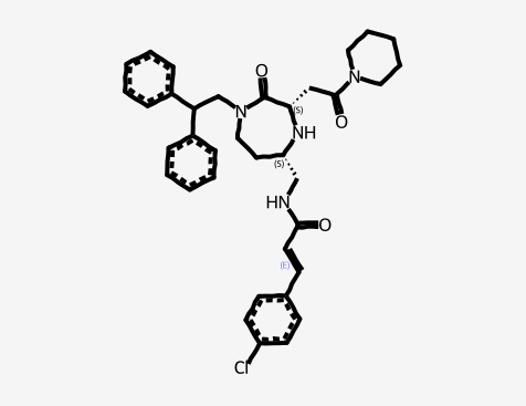 O=C(/C=C/c1ccc(Cl)cc1)NC[C@@H]1CCN(CC(c2ccccc2)c2ccccc2)C(=O)[C@H](CC(=O)N2CCCCC2)N1